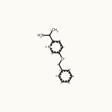 CC(N)c1ccc(OCc2ccccc2)cn1